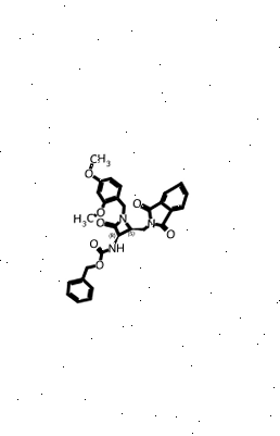 COc1ccc(CN2C(=O)[C@H](NC(=O)OCc3ccccc3)[C@@H]2CN2C(=O)c3ccccc3C2=O)c(OC)c1